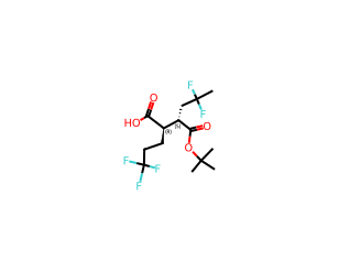 CC(F)(F)C[C@H](C(=O)OC(C)(C)C)[C@@H](CCC(F)(F)F)C(=O)O